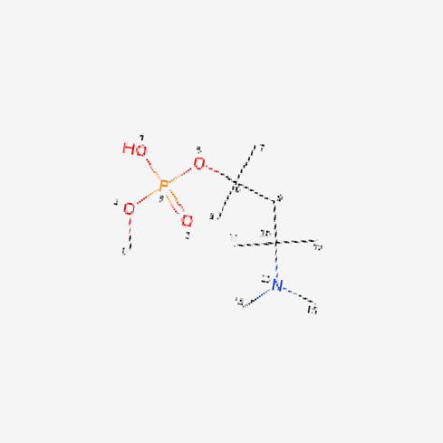 COP(=O)(O)OC(C)(C)CC(C)(C)N(C)C